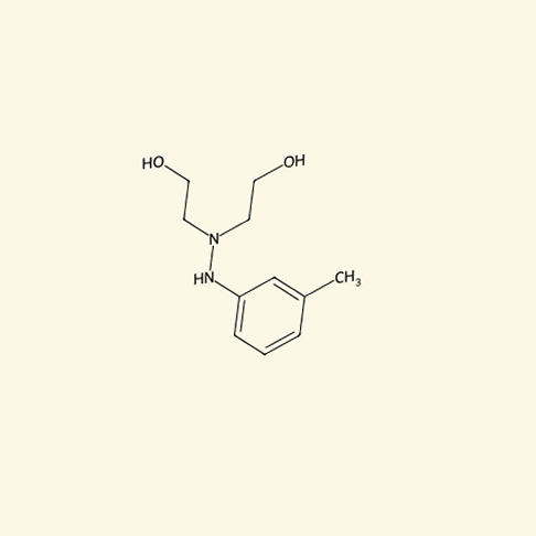 Cc1cccc(NN(CCO)CCO)c1